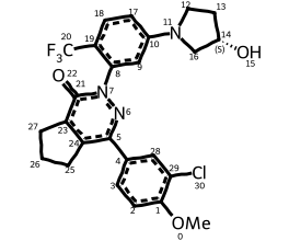 COc1ccc(-c2nn(-c3cc(N4CC[C@H](O)C4)ccc3C(F)(F)F)c(=O)c3c2CCC3)cc1Cl